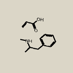 C=CC(=O)O.CNC(C)Cc1ccccc1